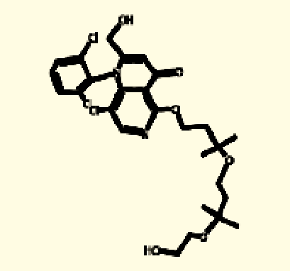 CC(C)(CCOc1ncc(Cl)c2c1c(=O)cc(CO)n2-c1c(Cl)cccc1Cl)OCCC(C)(C)OCCO